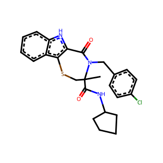 CC1(C(=O)NC2CCCC2)CSc2c([nH]c3ccccc23)C(=O)N1Cc1ccc(Cl)cc1